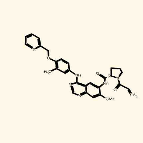 C=CC(=O)N1CCC[C@H]1C(=O)Nc1cc2c(Nc3ccc(OCc4ccccn4)c(C)c3)ncnc2cc1OC